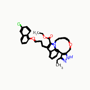 CCOC(=O)c1c(CCCOc2cccc3cc(Cl)ccc23)c2cccc3c2n1CCCCOCc1[nH]nc(CC)c1-3